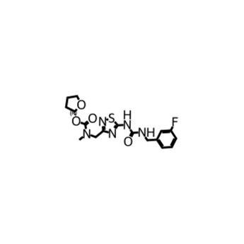 CN(Cc1nsc(NC(=O)NCc2cccc(F)c2)n1)C(=O)O[C@@H]1CCCO1